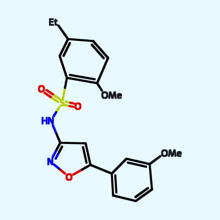 CCc1ccc(OC)c(S(=O)(=O)Nc2cc(-c3cccc(OC)c3)on2)c1